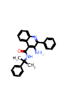 CC(C)(NC(=O)c1c(N)c(-c2ccccc2)nc2ccccc12)c1ccccc1